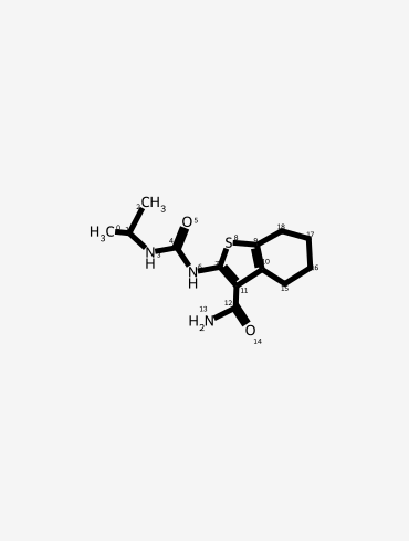 CC(C)NC(=O)Nc1sc2c(c1C(N)=O)CCCC2